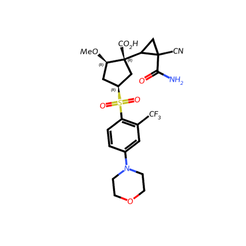 CO[C@@H]1C[C@H](S(=O)(=O)c2ccc(N3CCOCC3)cc2C(F)(F)F)C[C@@]1(C(=O)O)C1CC1(C#N)C(N)=O